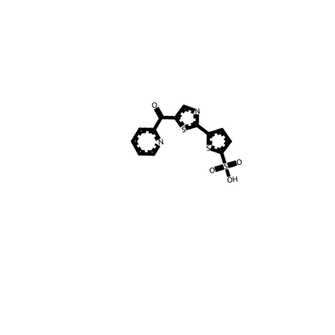 O=C(c1ccccn1)c1cnc(-c2ccc(S(=O)(=O)O)s2)s1